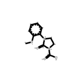 COc1ccccc1N1CCN(C(=O)Cl)C1=O